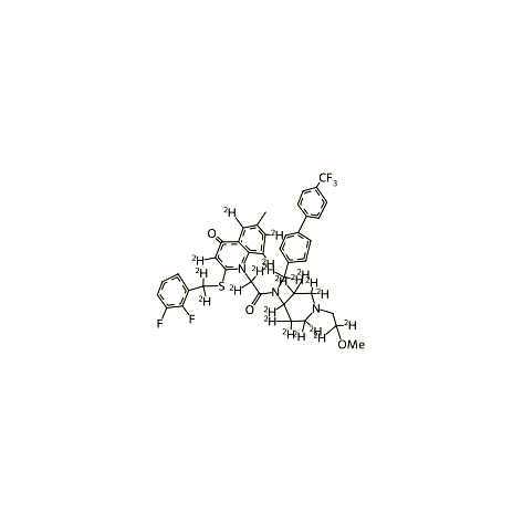 [2H]c1c(C)c([2H])c2c(=O)c([2H])c(SC([2H])([2H])c3cccc(F)c3F)n(C([2H])([2H])C(=O)N(C([2H])([2H])c3ccc(-c4ccc(C(F)(F)F)cc4)cc3)C3([2H])C([2H])([2H])C([2H])([2H])N(CC([2H])([2H])OC)C([2H])([2H])C3([2H])[2H])c2c1[2H]